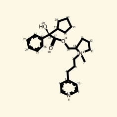 C[N+]1(CCCc2ccncc2)CCCC1COC(=O)[C@](O)(c1ccccc1)C1CCCC1